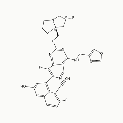 C#Cc1c(F)ccc2cc(O)cc(-c3ncc4c(NCc5cocn5)nc(OC[C@@]56CCCN5C[C@H](F)C6)nc4c3F)c12